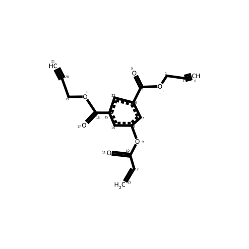 C#CCOC(=O)c1cc(OC(=O)C=C)cc(C(=O)OCC#C)c1